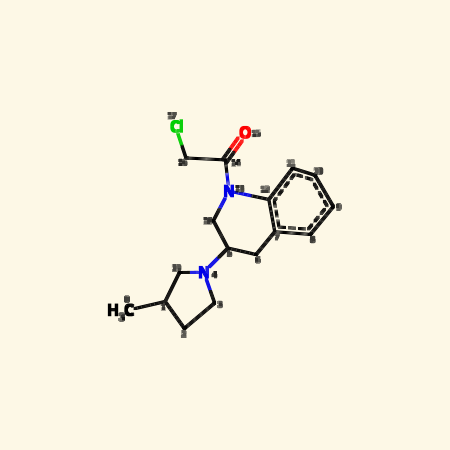 CC1CCN(C2Cc3ccccc3N(C(=O)CCl)C2)C1